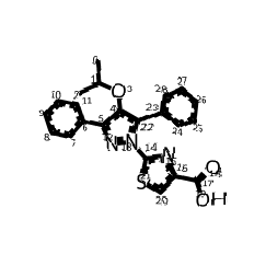 CC(C)Oc1c(-c2ccccc2)nn(-c2nc(C(=O)O)cs2)c1-c1ccccc1